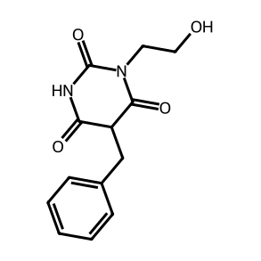 O=C1NC(=O)N(CCO)C(=O)C1Cc1ccccc1